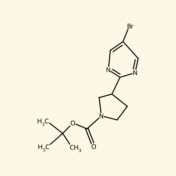 CC(C)(C)OC(=O)N1CCC(c2ncc(Br)cn2)C1